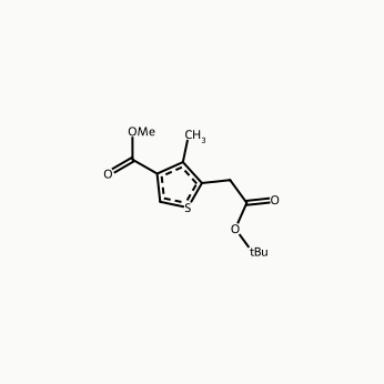 COC(=O)c1csc(CC(=O)OC(C)(C)C)c1C